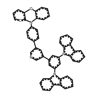 c1ccc2c(c1)Oc1ccccc1N2c1ccc(-c2cncc(-c3cc(-n4c5ccccc5c5ccccc54)cc(-n4c5ccccc5c5ccccc54)c3)c2)cc1